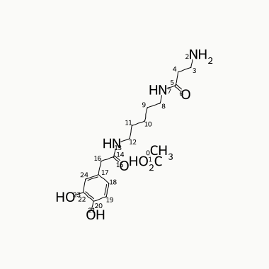 CC(=O)O.NCCC(=O)NCCCCCNC(=O)Cc1ccc(O)c(O)c1